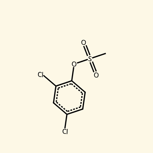 CS(=O)(=O)Oc1ccc(Cl)cc1Cl